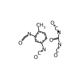 Cc1ccc(N=C=O)cc1N=C=O.O=C=NC(=O)N=C=O